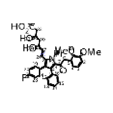 COc1cccc(CC(=O)c2c(-c3ccccc3)c(-c3ccc(F)cc3)c(/C=C/[C@@H](O)C[C@@H](O)CC(=O)O)n2C(C)C)c1OC